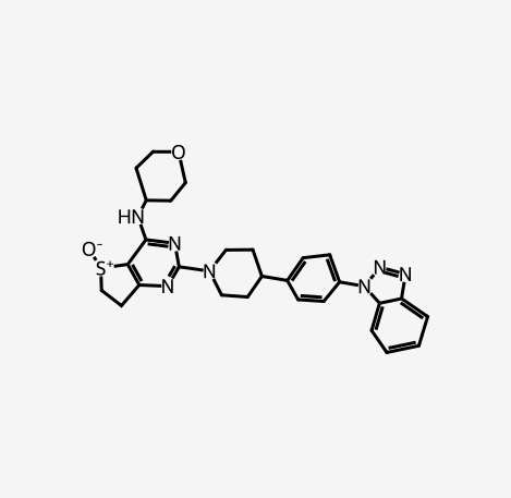 [O-][S+]1CCc2nc(N3CCC(c4ccc(-n5nnc6ccccc65)cc4)CC3)nc(NC3CCOCC3)c21